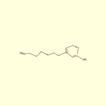 CCCCCCCCCCCCCCC[n+]1cccc(CCC)c1